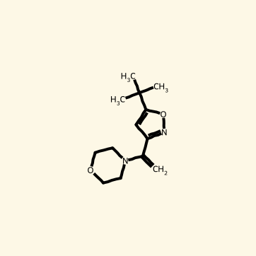 C=C(c1cc(C(C)(C)C)on1)N1CCOCC1